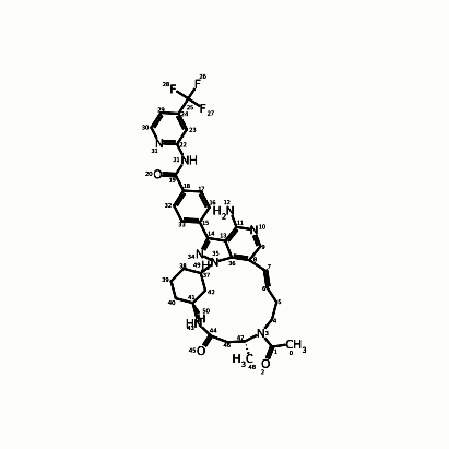 CC(=O)N1CC/C=C/c2cnc(N)c3c(-c4ccc(C(=O)Nc5cc(C(F)(F)F)ccn5)cc4)nn(c23)[C@@H]2CCC[C@H](C2)NC(=O)C[C@H]1C